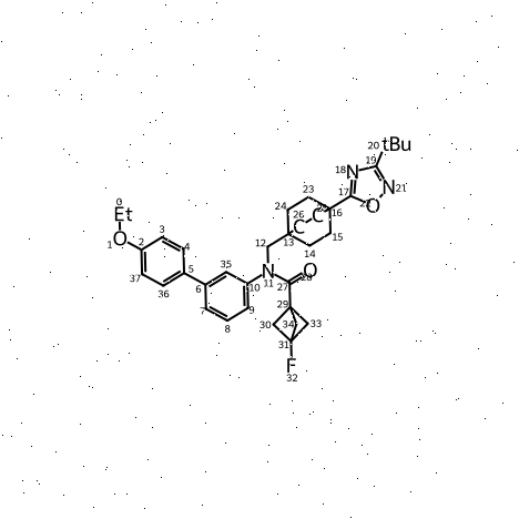 CCOc1ccc(-c2cccc(N(CC34CCC(c5nc(C(C)(C)C)no5)(CC3)CC4)C(=O)C34CC(F)(C3)C4)c2)cc1